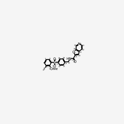 COc1c(F)cccc1S(=O)(=O)c1ccc(CNC(=O)c2cc3ccncc3o2)cc1